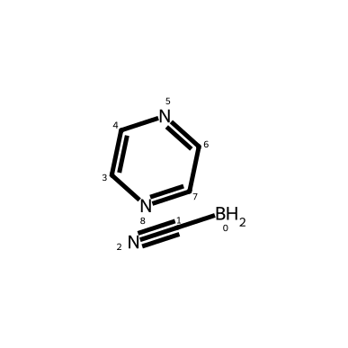 BC#N.c1cnccn1